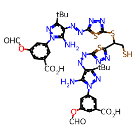 CC(C)(C)c1nn(-c2cc(OC=O)cc(C(=O)O)c2)c(N)c1N=Nc1nnc(SC(CS)c2nnc(N=Nc3c(C(C)(C)C)nn(-c4cc(OC=O)cc(C(=O)O)c4)c3N)s2)s1